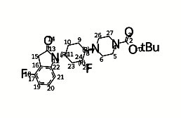 CC(C)(C)OC(=O)N1CCN([C@@H]2CC[C@@H](N3C(=O)Cc4c(F)cccc43)C[C@H]2F)CC1